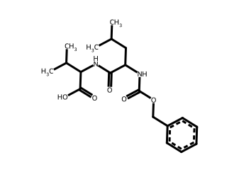 CC(C)CC(NC(=O)OCc1ccccc1)C(=O)NC(C(=O)O)C(C)C